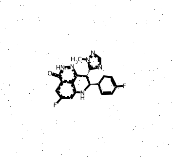 Cn1ncnc1[C@H]1c2n[nH]c(=O)c3cc(F)cc(c23)N[C@@H]1C1C=CC(F)=CC1